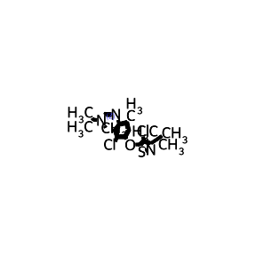 Cc1cc(Oc2snc(C(C)(C)C)c2Cl)c(Cl)cc1/N=C\N(C)C(C)C